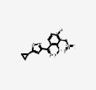 COc1c(C(=O)c2cc(C3CC3)on2)ccc(Cl)c1C[SH](=O)=O